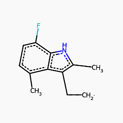 [CH2]Cc1c(C)[nH]c2c(F)ccc(C)c12